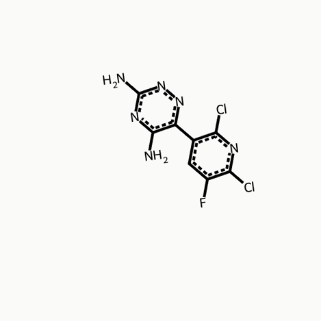 Nc1nnc(-c2cc(F)c(Cl)nc2Cl)c(N)n1